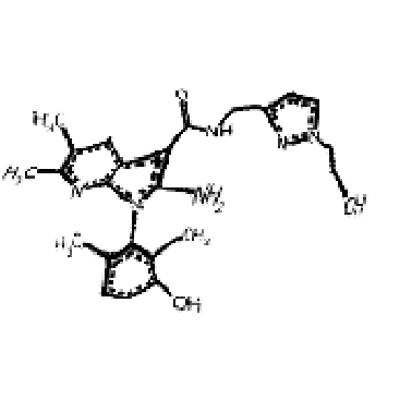 Cc1cc2c(C(=O)NCc3ccn(CCO)n3)c(N)n(-c3c(C)ccc(O)c3C)c2nc1C